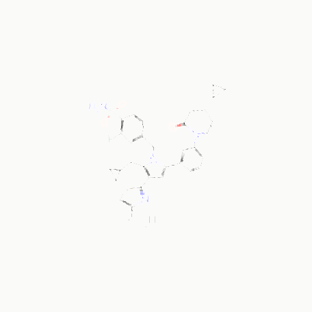 NS(=O)(=O)c1ccc(Cn2c(-c3cccc(N4CC[C@@H](C5CC5)CC4=O)c3)cc(-c3nc(C(=O)O)cs3)c2CC2CC2)cc1F